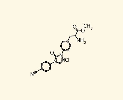 COC(=O)C(N)Cc1ccc(-n2ccn(-c3ccc(C#N)cc3)c2=O)cc1.Cl